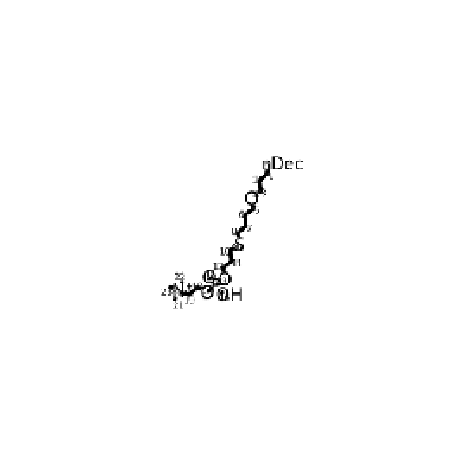 CCCCCCCCCCCCCOCCCCSCCCOP(=O)(O)OCC[N+](C)(C)C